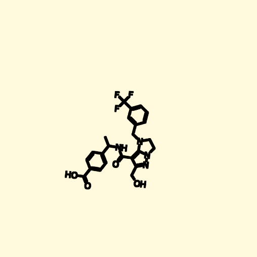 CC(NC(=O)c1c(CO)nn2c1N(Cc1cccc(C(F)(F)F)c1)CC2)c1ccc(C(=O)O)cc1